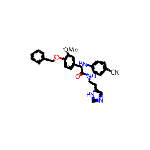 COc1cc([C@H](Nc2ccc(C#N)cc2)C(=O)NCCc2cnc[nH]2)ccc1OCc1ccccc1